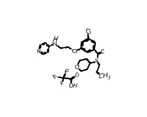 CCCN(C(=O)c1cc(Cl)cc(OCCNc2ccncc2)c1)C1CCOCC1.O=C(O)C(F)(F)F